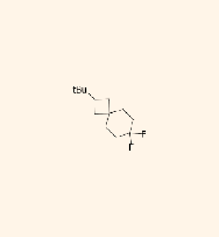 CC(C)(C)C1CC2(CCC(F)(F)CC2)C1